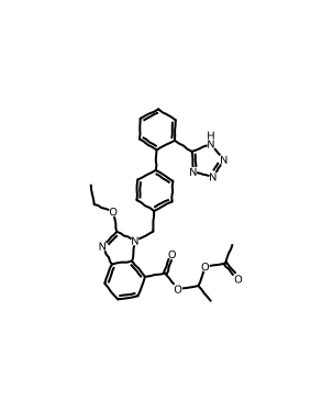 CCOc1nc2cccc(C(=O)OC(C)OC(C)=O)c2n1Cc1ccc(-c2ccccc2-c2nnn[nH]2)cc1